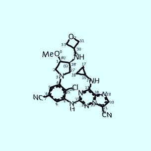 CO[C@@H]1CN(c2cc(C#N)cc(Nc3nc(NC4CC4)c4ncc(C#N)n4n3)c2Cl)C[C@@H]1NC1COC1